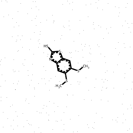 CSc1cc2nc(S)sc2cc1SC